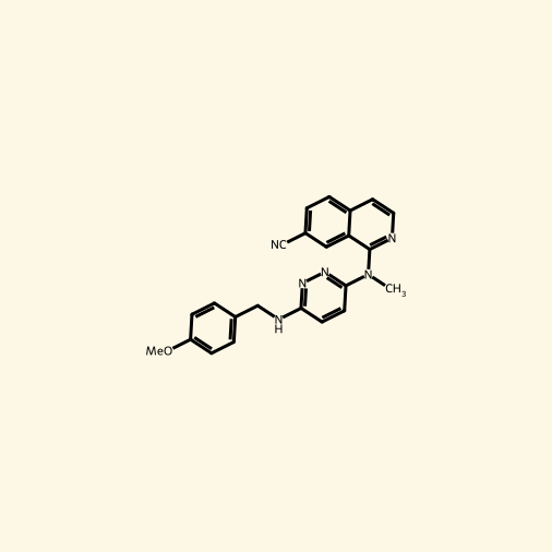 COc1ccc(CNc2ccc(N(C)c3nccc4ccc(C#N)cc34)nn2)cc1